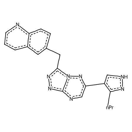 CCCc1n[nH]cc1-c1cnc2nnc(Cc3ccc4ncccc4c3)n2n1